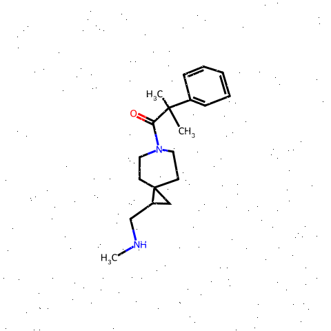 CNCC1CC12CCN(C(=O)C(C)(C)c1ccccc1)CC2